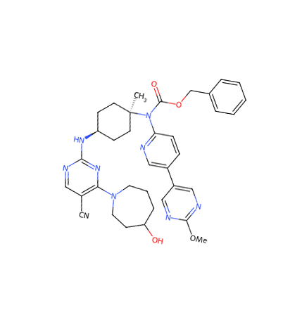 COc1ncc(-c2ccc(N(C(=O)OCc3ccccc3)[C@]3(C)CC[C@H](Nc4ncc(C#N)c(N5CCCC(O)CC5)n4)CC3)nc2)cn1